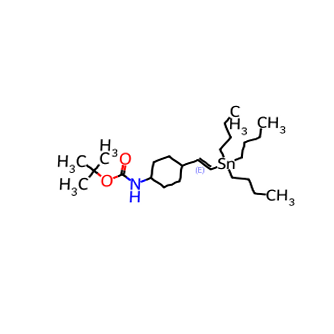 CCC[CH2][Sn](/[CH]=C/C1CCC(NC(=O)OC(C)(C)C)CC1)([CH2]CCC)[CH2]CCC